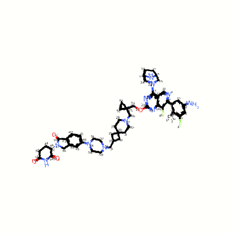 Nc1cc(F)c(C(F)(F)F)c(-c2ncc3c(N4CC5CCC(C4)N5)nc(OCC4(CN5CCC6(CC5)CC(CN5CCN(c7ccc8c(c7)CN([C@H]7CCC(=O)NC7=O)C8=O)CC5)C6)CC4)nc3c2F)c1